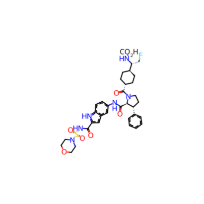 O=C(O)N[C@H](CF)[C@H]1CC[C@H](C(=O)N2CC[C@H](c3ccccc3)[C@H]2C(=O)Nc2ccc3[nH]c(C(=O)NS(=O)(=O)N4CCOCC4)cc3c2)CC1